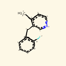 O=C(O)c1ccncc1Cc1ccccc1F